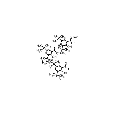 CC(C)(C)c1cc(C(=O)[O-])c(O)c(C(C)(C)C)c1.CC(C)(C)c1cc(C(=O)[O-])c(O)c(C(C)(C)C)c1.CC(C)(C)c1cc(C(=O)[O-])c(O)c(C(C)(C)C)c1.[In+3]